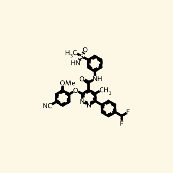 COc1cc(C#N)ccc1Oc1nnc(-c2ccc(C(F)F)cc2)c(C)c1C(=O)Nc1cccc(S(C)(=N)=O)c1